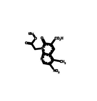 Cc1c([N+](=O)[O-])cnc2c1cc(C(=O)O)c(=O)n2CC(=O)OC(C)(C)C